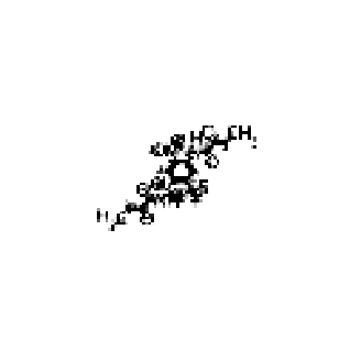 CCC(=O)C(=O)Nc1cc(C(F)(F)F)c(S(=O)(=O)NC(=O)C(=O)CC)cc1[N+](=O)[O-]